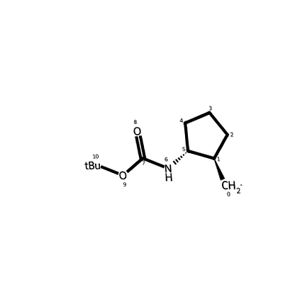 [CH2][C@@H]1CCC[C@H]1NC(=O)OC(C)(C)C